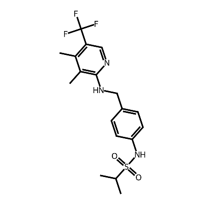 Cc1c(C(F)(F)F)cnc(NCc2ccc(NS(=O)(=O)C(C)C)cc2)c1C